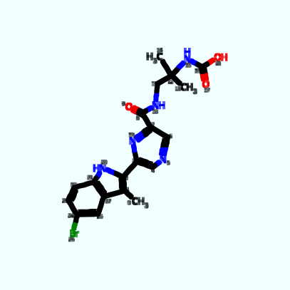 Cc1c(-c2cncc(C(=O)NCC(C)(C)NC(=O)O)n2)[nH]c2ccc(Br)cc12